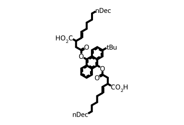 CCCCCCCCCCCCCCC=CC(CC(=O)Oc1c2ccccc2c(OC(=O)CC(C=CCCCCCCCCCCCCCC)C(=O)O)c2cc(C(C)(C)C)ccc12)C(=O)O